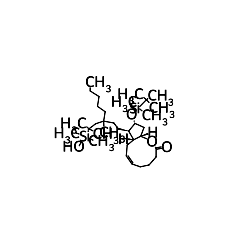 CCCCCC(C)(CC[C@@H]1[C@H]2C/C=C\CCCC(=O)O[C@H]2C[C@H]1O[Si](C)(C)C(C)(C)C)CC(C)(C)[Si](C)(C)O